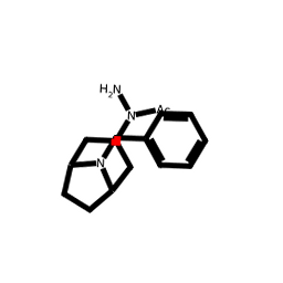 CC(=O)N(N)C1CC2CCC(C1)N2Cc1ccccc1